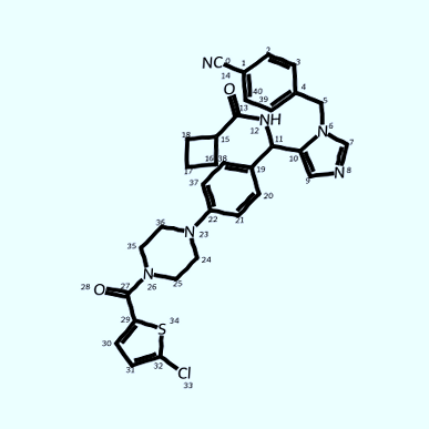 N#Cc1ccc(Cn2cncc2C(NC(=O)C2CCC2)c2ccc(N3CCN(C(=O)c4ccc(Cl)s4)CC3)cc2)cc1